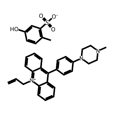 C=CC[n+]1c2ccccc2c(-c2ccc(N3CCN(C)CC3)cc2)c2ccccc21.Cc1ccc(O)cc1S(=O)(=O)[O-]